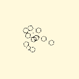 c1ccc(-c2ccc(N(c3ccc(-c4cccc5sc6ccccc6c45)cc3)c3cccc4c3C3(c5ccccc5-c5ccccc53)c3c-4ccc4ccccc34)cc2)cc1